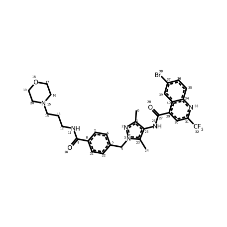 Cc1nn(Cc2ccc(C(=O)NCCCN3CCOCC3)cc2)c(C)c1NC(=O)c1cc(C(F)(F)F)nc2ccc(Br)cc12